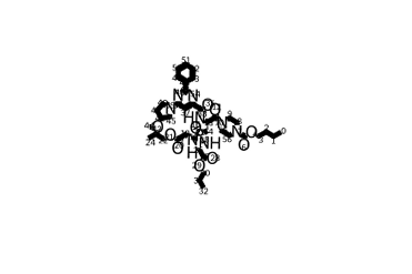 CCCCOC(=O)N1CCN(C(=O)[C@H](CP(=O)(NCC(=O)OCCC)NCC(=O)OCCC)NC(=O)c2cc(N3CC[C@H](OC)C3)nc(-c3ccccc3)n2)CC1